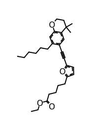 CCCCCCc1cc2c(cc1C#Cc1ccc(CCCCC(=O)OCC)o1)C(C)(C)CCO2